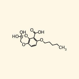 CCCCCOc1ccc2c(c1C(=O)O)O[B-](O)(O)CO2